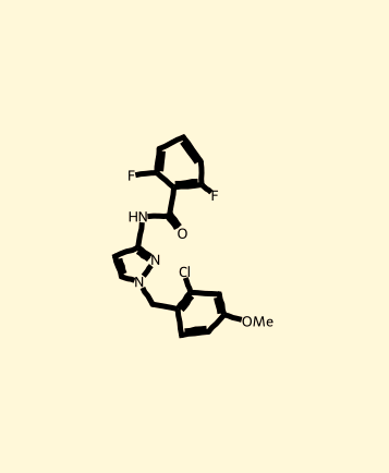 COc1ccc(Cn2ccc(NC(=O)c3c(F)cccc3F)n2)c(Cl)c1